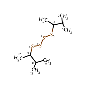 CC(C)C(C)SSSSC(C)C(C)C